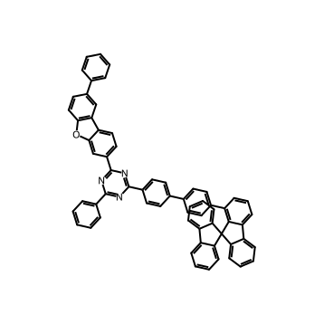 c1ccc(-c2ccc3oc4cc(-c5nc(-c6ccccc6)nc(-c6ccc(-c7ccc(-c8cccc9c8C8(c%10ccccc%10-c%10ccccc%108)c8ccccc8-9)cc7)cc6)n5)ccc4c3c2)cc1